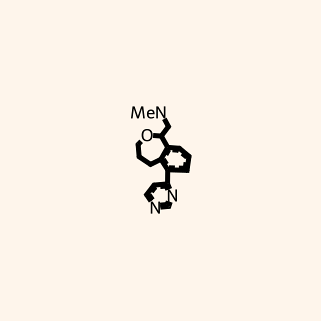 CNCC1OCCCc2c(-c3ccncn3)cccc21